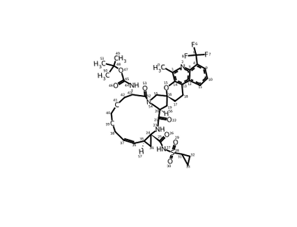 Cc1nc2c(C(F)(F)F)cccc2c2c1O[C@]1(CC2)C[C@H]2C(=O)N[C@]3(C(=O)NS(=O)(=O)C4CC4)C[C@H]3/C=C\CCCCC[C@H](NC(=O)OC(C)(C)C)C(=O)N2C1